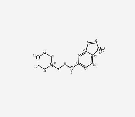 [c]1cc2cc(OCCN3CCOCC3)ccc2[nH]1